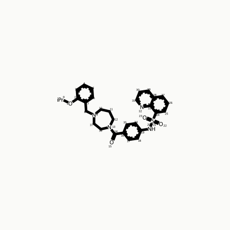 CC(C)Oc1ccccc1CN1CCCN(C(=O)c2ccc(NS(=O)(=O)c3cccc4cccnc34)cc2)CC1